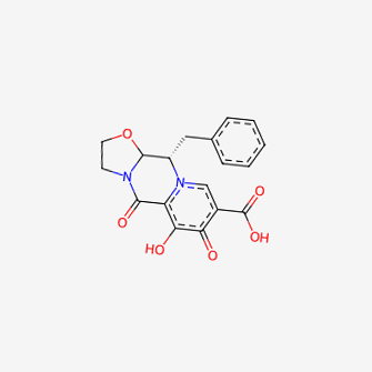 O=C(O)c1cn2c(c(O)c1=O)C(=O)N1CCOC1[C@@H]2Cc1ccccc1